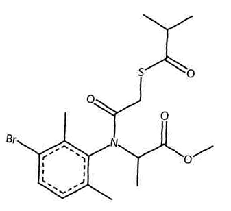 COC(=O)C(C)N(C(=O)CSC(=O)C(C)C)c1c(C)ccc(Br)c1C